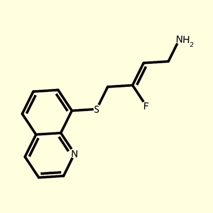 NC/C=C(\F)CSc1cccc2cccnc12